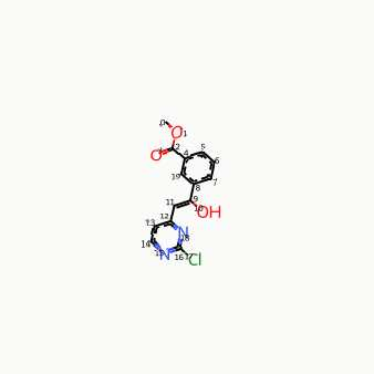 COC(=O)c1cccc(C(O)=Cc2ccnc(Cl)n2)c1